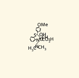 CC(=O)O.COc1ccc([C@@H]2Sc3ccccc3N(CCN(C)C)C(=O)[C@@H]2O)cc1